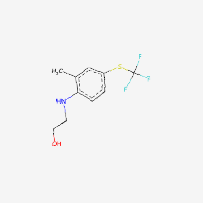 Cc1cc(SC(F)(F)F)ccc1NCCO